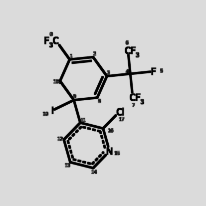 FC(F)(F)C1=CC(C(F)(C(F)(F)F)C(F)(F)F)=CC(I)(c2cccnc2Cl)[CH]1